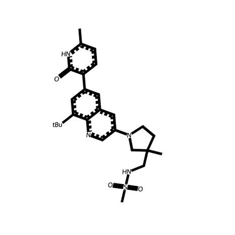 Cc1ccc(-c2cc(C(C)(C)C)c3ncc(N4CCC(C)(CNS(C)(=O)=O)C4)cc3c2)c(=O)[nH]1